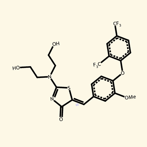 COc1cc(/C=C2\SC(N(CCO)CCO)=NC2=O)ccc1Oc1ccc(C(F)(F)F)cc1C(F)(F)F